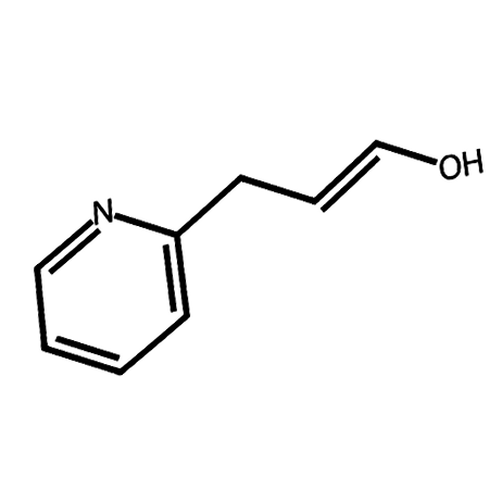 O/C=C/Cc1ccccn1